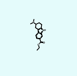 CCOC(=O)c1ccc2c3c([nH]c2c1)CCC(N(C)C)C3